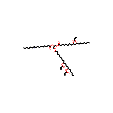 C=CC(=O)OC(CCCCCCCCC)CCCCCCCC(=O)OCC(COC(=O)CCCCCCCC(CCCC(CCCCC)OC(=O)C=C)OC(=O)C=C)OC(=O)CCCCCCC/C=C/CCCCCC